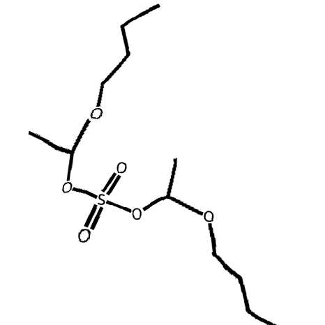 CCCCOC(C)OS(=O)(=O)OC(C)OCCCC